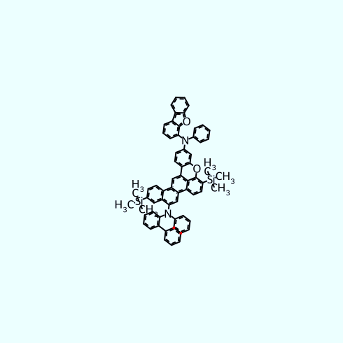 C[Si](C)(C)c1ccc2c(c1)c(N(c1ccccc1)c1ccccc1-c1ccccc1)cc1c3ccc([Si](C)(C)C)c4c3c(cc21)-c1ccc(N(c2ccccc2)c2cccc3c2oc2ccccc23)cc1O4